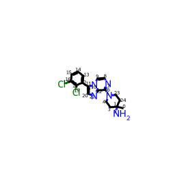 CC1(N)CCN(c2nccn3c(-c4cccc(Cl)c4Cl)cnc23)CC1